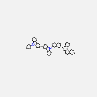 c1ccc(-n2c3ccccc3c3cc(-c4ccc5c(c4)c4ccccc4n5-c4ccc5ccc(-c6cc7ccc8ccccc8c7c7ccccc67)cc5c4)ccc32)cc1